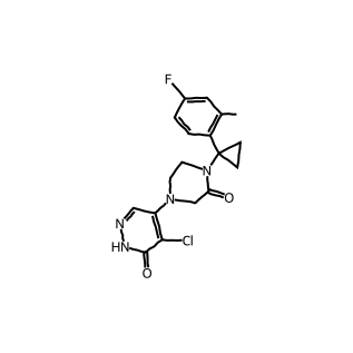 Cc1cc(F)ccc1C1(N2CCN(c3cn[nH]c(=O)c3Cl)CC2=O)CC1